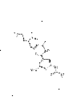 COc1cc(C(=O)NC(C)c2ccc(OCC(F)(F)F)nc2)cc(NC(=O)C2CC2)n1